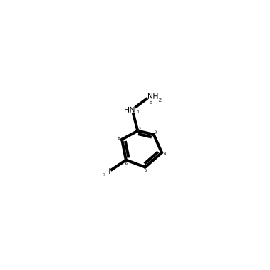 NNc1cccc(I)c1